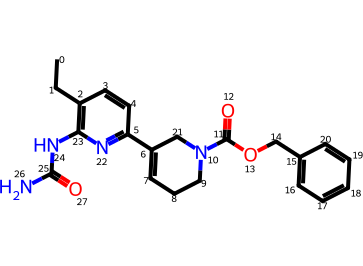 CCc1ccc(C2=CCCN(C(=O)OCc3ccccc3)C2)nc1NC(N)=O